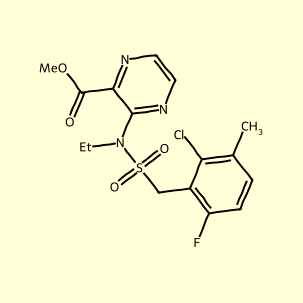 CCN(c1nccnc1C(=O)OC)S(=O)(=O)Cc1c(F)ccc(C)c1Cl